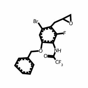 O=C(Nc1c(OCc2ccccc2)cc(Br)c(CC2CO2)c1F)C(F)(F)F